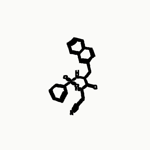 N#CCNC(=O)C(Cc1ccc2ccccc2c1)NS(=O)(=O)c1ccccc1